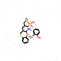 CCC(CC1CSc2ccccc2OC1N)CS(=O)(=O)O.Cc1ccccc1O